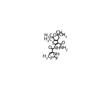 C/C=C(\NC(F)F)C(=O)Nc1sc2c(c1C(N)=O)CC(C)(C)OC2(C)C